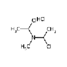 CC(Cl)N(C)C(C)Cl.Cl